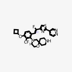 F/C(=C\c1ccc(OC2CCC2)c(C(F)(F)F)c1N1CCOC2(CCNCC2)C1)c1csc(-c2ccnnc2)n1